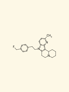 Cc1ccc2c(n1)c1c(n2CCc2ccc(CF)cc2)CCN2CCCCC12